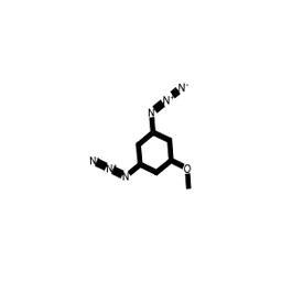 COC1CC(N=[N+]=[N-])CC(N=[N+]=[N-])C1